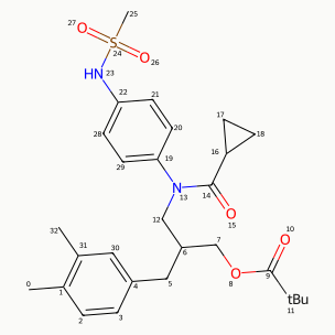 Cc1ccc(CC(COC(=O)C(C)(C)C)CN(C(=O)C2CC2)c2ccc(NS(C)(=O)=O)cc2)cc1C